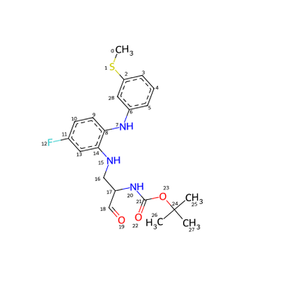 CSc1cccc(Nc2ccc(F)cc2NCC(C=O)NC(=O)OC(C)(C)C)c1